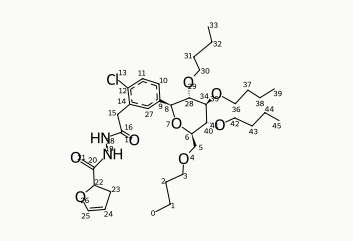 CCCCOC[C@H]1O[C@@H](c2ccc(Cl)c(CC(=O)NNC(=O)C3CC=CO3)c2)[C@H](OCCCC)[C@@H](OCCCC)[C@@H]1OCCCC